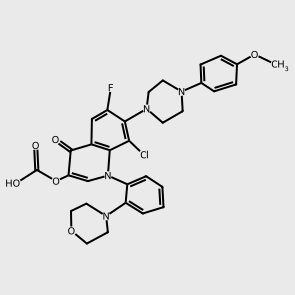 COc1ccc(N2CCN(c3c(F)cc4c(=O)c(OC(=O)O)cn(-c5ccccc5N5CCOCC5)c4c3Cl)CC2)cc1